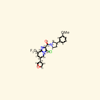 COc1cccc(C2CCN(C(=O)c3nc4c(C(F)(F)F)cc(-c5ccoc5)cn4c3Cl)C2)c1